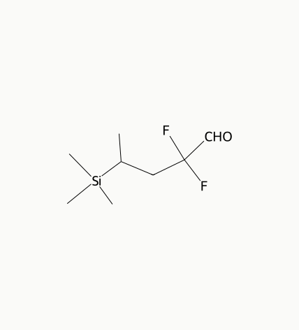 CC(CC(F)(F)C=O)[Si](C)(C)C